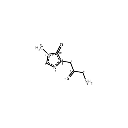 Cn1cnn(CC(=S)CN)c1=O